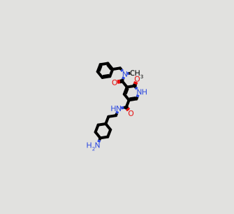 CN(Cc1ccccc1)C(=O)c1cc(C(=O)NCCC2CCC(N)CC2)c[nH]c1=O